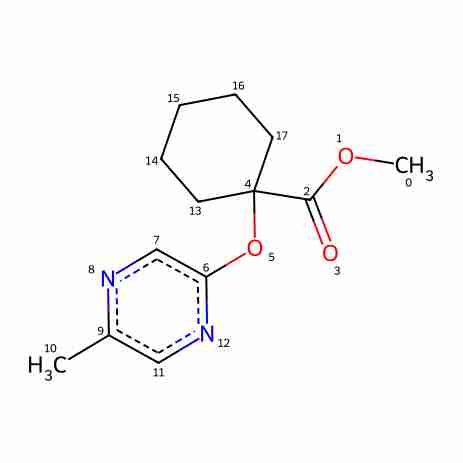 COC(=O)C1(Oc2cnc(C)cn2)CCCCC1